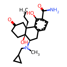 CCC[C@]12CC(=O)CC[C@@]1(O)[C@H](N(C)CC1CC1)Cc1ccc(C(N)=O)c(O)c12